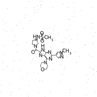 Cn1cc(-c2nc(N3CCOCC3)c3nc(C(=O)N4CC[C@@H](NS(C)(=O)=O)C4)[nH]c3n2)cn1